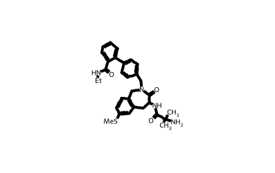 CCNC(=O)c1ccccc1-c1ccc(CN2Cc3ccc(SC)cc3CC(NC(=O)C(C)(C)N)C2=O)cc1